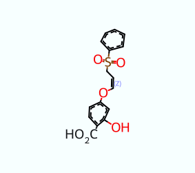 O=C(O)c1ccc(O/C=C\CS(=O)(=O)c2ccccc2)cc1O